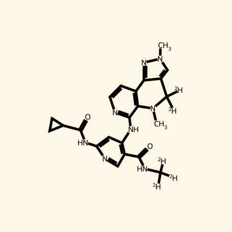 [2H]C([2H])([2H])NC(=O)c1cnc(NC(=O)C2CC2)cc1Nc1nccc2c1N(C)C([2H])([2H])c1cn(C)nc1-2